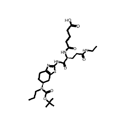 CCCN(C(=O)OC(C)(C)C)[C@H]1CCc2nc(NC(=O)[C@H](CCC(=O)NCC)NC(=O)CCCC(=O)O)sc2C1